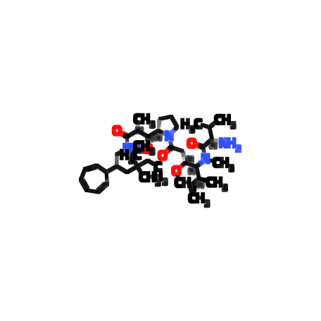 CC[C@H](C)[C@@H]([C@@H](CC(=O)N1CCC[C@H]1[C@H](OC)[C@@H](C)C(=O)NCC(CC(C)(CC)CC)C1C=CC=CC=C1)OC)N(C)C(=O)[C@@H](N)C(C)C